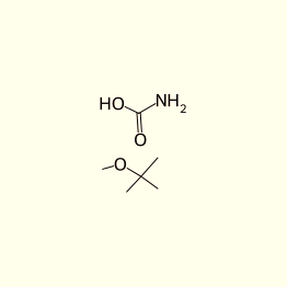 COC(C)(C)C.NC(=O)O